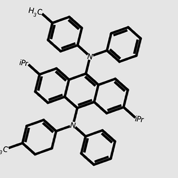 CC1=CC=C(N(c2ccccc2)c2c3cc(C(C)C)ccc3c(N(c3ccccc3)c3ccc(C)cc3)c3cc(C(C)C)ccc23)CC1